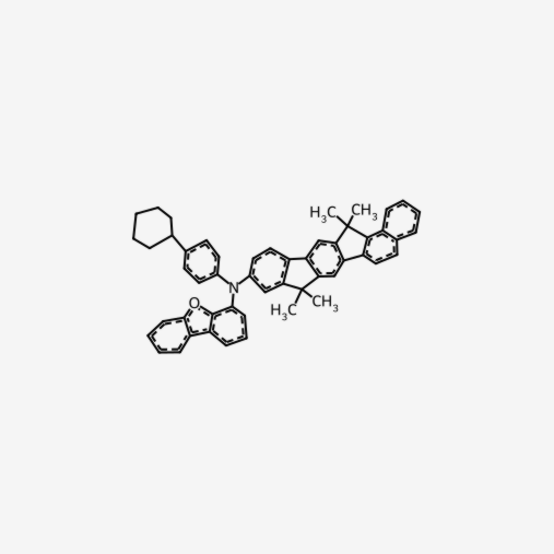 CC1(C)c2cc(N(c3ccc(C4CCCCC4)cc3)c3cccc4c3oc3ccccc34)ccc2-c2cc3c(cc21)-c1ccc2ccccc2c1C3(C)C